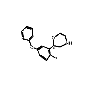 Fc1ccc(Oc2ccccn2)cc1[C@@H]1CNCCO1